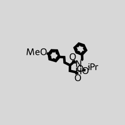 COc1ccc(CCC(CC(=O)OOC(C)C)C(=O)NCc2ccccc2)cc1